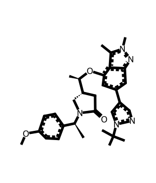 COc1ccc([C@H](C)N2C[C@H]([C@@H](C)Oc3cc(-c4cnn(C(C)(C)C)c4)cc4nn(C)c(C)c34)CC2=O)cc1